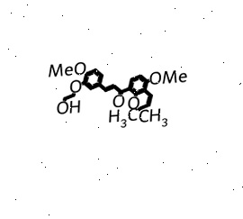 COc1ccc(C=CC(=O)c2ccc(OC)c3c2OC(C)(C)C=C3)cc1OCCO